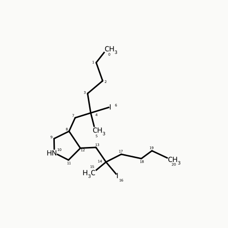 CCCCC(C)(I)CC1CNCC1CC(C)(I)CCCC